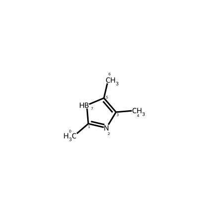 CC1=NC(C)=C(C)B1